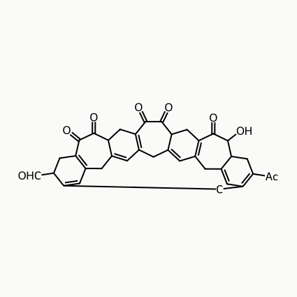 CC(=O)C1=C2C=C3CC4=C(CC5C(=O)C(=O)C6=C(C=C7CC8=C(CC(C=O)C(=C8)C2)C(=O)C(=O)C7C6)CC5=C4)C(=O)C(O)C3C1